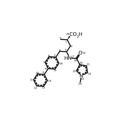 C[C@H](CC(Cc1ccc(-c2ccccc2)cc1)NC(=O)c1ccn(C)c1)C(=O)O